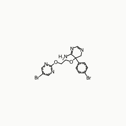 NC1=NC=NCC1(OCCOc1ncc(Br)cn1)c1ccc(Br)cc1